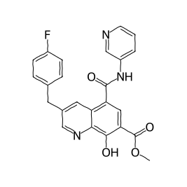 COC(=O)c1cc(C(=O)Nc2cccnc2)c2cc(Cc3ccc(F)cc3)cnc2c1O